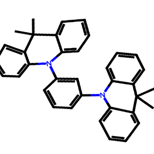 CC1(C)c2ccccc2N(c2cccc(N3c4ccccc4C(C)(C)c4ccccc43)c2)c2ccccc21